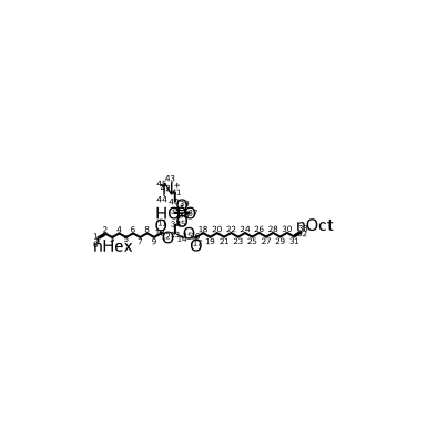 CCCCCC/C=C\CCCCCCCC(=O)O[C@H](COC(=O)CCCCCCCCCCCCC/C=C\CCCCCCCC)COP(=O)(O)OCC[N+](C)(C)C